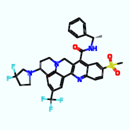 C[C@H](NC(=O)c1c(CN2CCC(N3CCC(F)(F)C3)CC2)c(-c2cccc(C(F)(F)F)c2)nc2ccc(S(C)(=O)=O)cc12)c1ccccc1